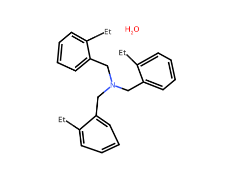 CCc1ccccc1CN(Cc1ccccc1CC)Cc1ccccc1CC.O